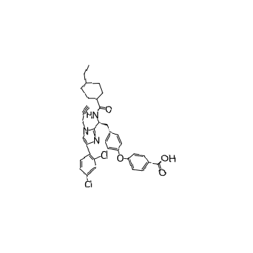 C#CCn1cc(-c2ccc(Cl)cc2Cl)nc1[C@H](Cc1ccc(Oc2ccc(C(=O)O)cc2)cc1)NC(=O)C1CCC(CC)CC1